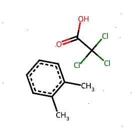 Cc1ccccc1C.O=C(O)C(Cl)(Cl)Cl